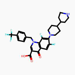 O=C(O)c1cn(Cc2ccc(C(F)(F)F)cc2)c2c(F)c(N3CCC(C4CCNCC4)CC3)c(F)cc2c1=O